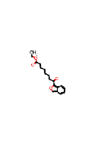 CCOC(=O)CCCCCCC(=O)c1occ2ccccc12